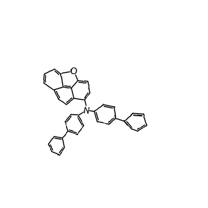 c1ccc(-c2ccc(N(c3ccc(-c4ccccc4)cc3)c3ccc4oc5cccc6ccc3c4c65)cc2)cc1